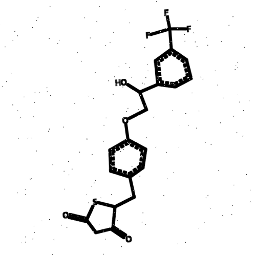 O=C1CC(=O)C(Cc2ccc(OCC(O)c3cccc(C(F)(F)F)c3)cc2)S1